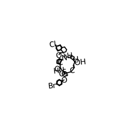 O=C1NS(=O)(=O)[C@H](CCOc2ccc(Br)cc2)CC/C=C/[C@H](O)[C@@H]2CC[C@H]2CN2C[C@@]3(CCCc4cc(Cl)ccc43)COc3ccc1cc32